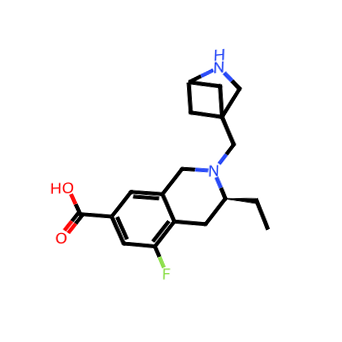 CC[C@H]1Cc2c(F)cc(C(=O)O)cc2CN1CC12CNC(C1)C2